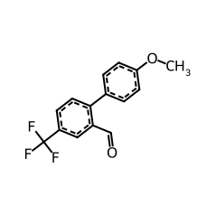 COc1ccc(-c2ccc(C(F)(F)F)cc2C=O)cc1